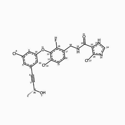 C[C@@H](O)C#Cc1cc(Cl)cc(Oc2c(Cl)ccc(CNC(=O)c3[nH]cnc3Cl)c2F)c1